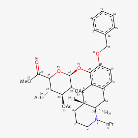 CCCN1CCC[C@@H]2Cc3c(ccc(OCc4ccccc4)c3O[C@@H]3OC(C(=O)OC)[C@@H](OC(C)=O)[C@H](OC(C)=O)[C@H]3OC(C)=O)C[C@H]21